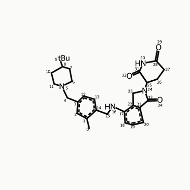 Cc1cc(CN2CCC(C(C)(C)C)CC2)ccc1CNc1cccc2c1CN(C1CCC(=O)NC1=O)C2=O